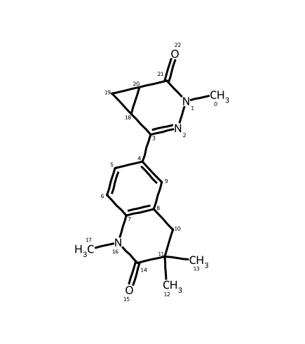 CN1N=C(c2ccc3c(c2)CC(C)(C)C(=O)N3C)C2CC2C1=O